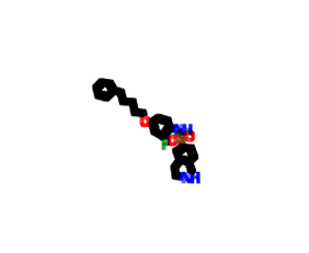 O=S(=O)(Nc1ccc(OCCCCCc2ccccc2)cc1F)c1ccc2c(c1)CCNC2